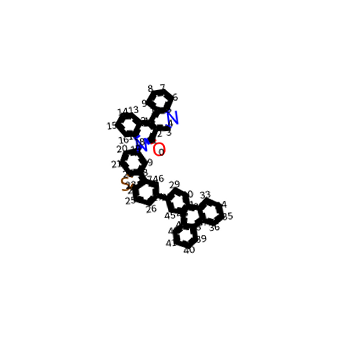 O=c1c2cnc3ccccc3c2c2ccccc2n1-c1ccc2sc3ccc(-c4ccc5c6ccccc6c6ccccc6c5c4)cc3c2c1